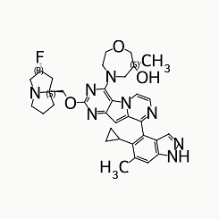 Cc1cc2[nH]ncc2c(-c2nccn3c2cc2nc(OC[C@@]45CCCN4C[C@H](F)C5)nc(N4CCOC[C@@](C)(O)C4)c23)c1C1CC1